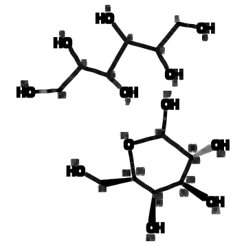 OCC(O)C(O)C(O)C(O)CO.OC[C@H]1OC(O)[C@H](O)[C@@H](O)[C@H]1O